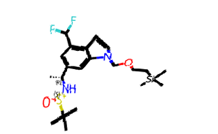 C[C@@H](N[S@+]([O-])C(C)(C)C)c1cc(C(F)F)c2ccn(COCC[Si](C)(C)C)c2c1